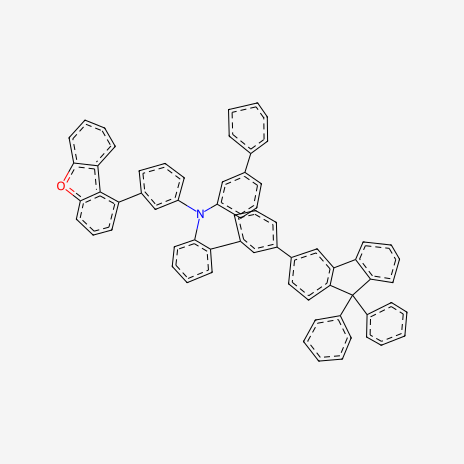 c1ccc(-c2cccc(N(c3cccc(-c4cccc5oc6ccccc6c45)c3)c3ccccc3-c3cccc(-c4ccc5c(c4)-c4ccccc4C5(c4ccccc4)c4ccccc4)c3)c2)cc1